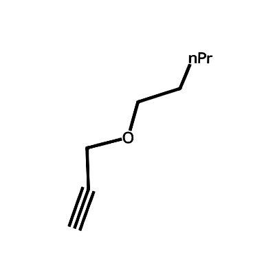 C#CCOCCCCC